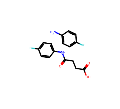 Nc1ccc(F)cc1.O=C(O)CCC(=O)Nc1ccc(F)cc1